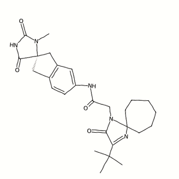 CN1C(=O)NC(=O)[C@@]12Cc1ccc(NC(=O)CN3C(=O)C(C(C)(C)C)=NC34CCCCCC4)cc1C2